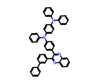 c1ccc(-c2cccc(-c3nc4ccccc4nc3-c3ccc(N(c4ccccc4)c4ccc(N(c5ccccc5)c5ccccc5)cc4)cc3)c2)cc1